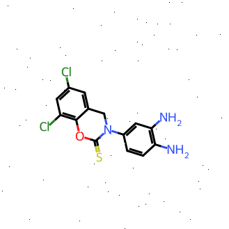 Nc1ccc(N2Cc3cc(Cl)cc(Cl)c3OC2=S)cc1N